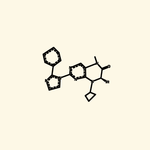 CC[C@@H]1C(=O)N(C)c2cnc(-n3ccnc3-c3ccccc3)nc2N1C1CCC1